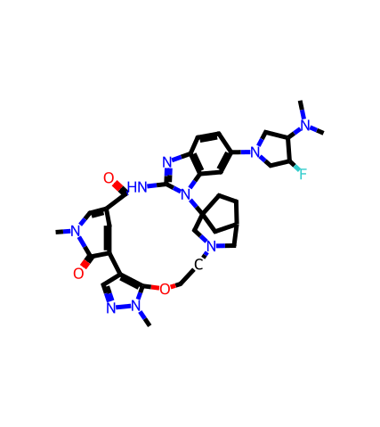 CN(C)C1CN(c2ccc3nc4n(c3c2)C23CCC(CN(CCOc5c(cnn5C)-c5cc(cn(C)c5=O)C(=O)N4)C2)C3)CC1F